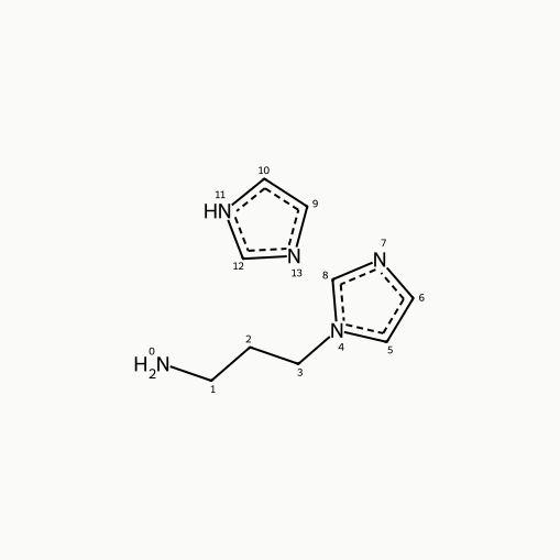 NCCCn1ccnc1.c1c[nH]cn1